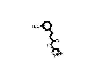 Cc1cccc(C=CC(=O)Nc2c[nH]nn2)c1